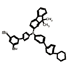 CC(C)(C)c1cc(-c2ccc(N(c3ccc(-c4ccc(C5CCCCC5)cc4)cc3)c3ccc4c(c3)C(C)(C)c3ccccc3-4)cc2)cc(C(C)(C)C)c1